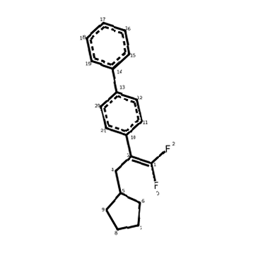 FC(F)=C(CC1CCCC1)c1ccc(-c2ccccc2)cc1